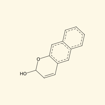 OC1C=Cc2cc3ccccc3cc2O1